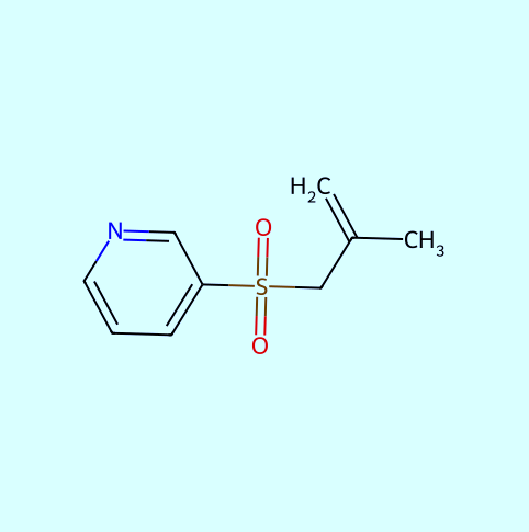 C=C(C)CS(=O)(=O)c1cccnc1